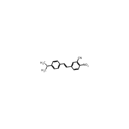 CN(C)c1ccc(C=Cc2ccc([N+](=O)[O-])c(C#N)c2)cc1